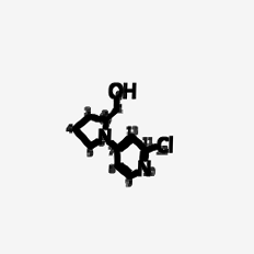 OC[C@@H]1CCCN1c1ccnc(Cl)c1